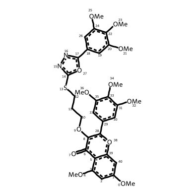 COc1cc(OC)c2c(=O)c(OCCCSc3nnc(-c4cc(OC)c(OC)c(OC)c4)o3)c(-c3cc(OC)c(OC)c(OC)c3)oc2c1